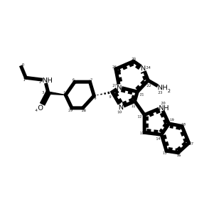 CCNC(=O)[C@H]1CC[C@H](c2nc(-c3cc4ccccc4[nH]3)c3c(N)nccn32)CC1